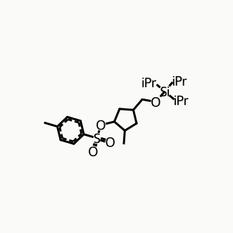 Cc1ccc(S(=O)(=O)OC2CC(CO[Si](C(C)C)(C(C)C)C(C)C)CC2C)cc1